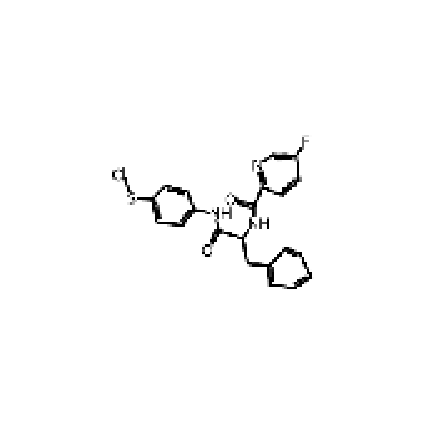 O=C(NC(Cc1ccccc1)C(=O)Nc1ccc(SCl)cc1)c1ccc(F)cn1